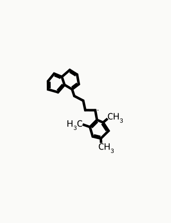 Cc1cc(C)c([CH]CCCc2cccc3ccccc23)c(C)c1